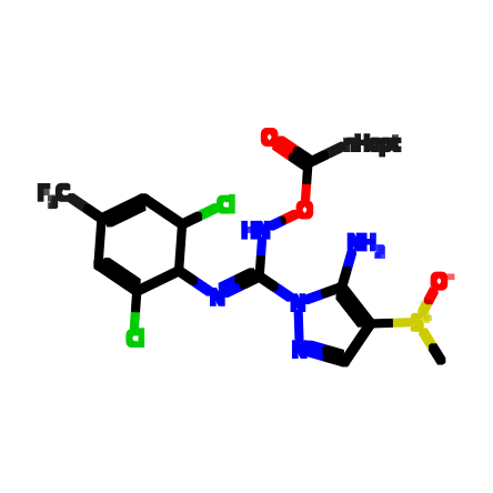 CCCCCCCC(=O)ONC(=NC1C(Cl)=CC(C(F)(F)F)=CC1Cl)n1ncc([S+](C)[O-])c1N